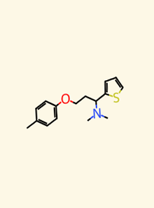 Cc1ccc(OCCC(c2cccs2)N(C)C)cc1